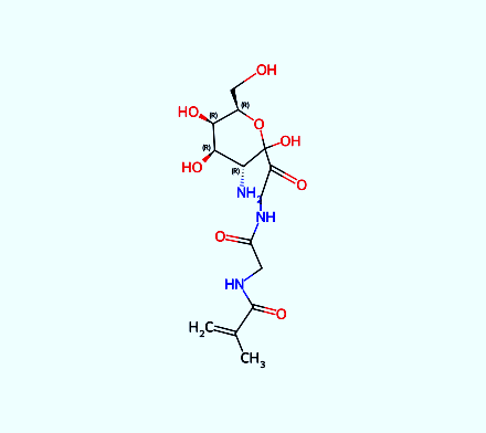 C=C(C)C(=O)NCC(=O)NCC(=O)C1(O)O[C@H](CO)[C@H](O)[C@H](O)[C@H]1N